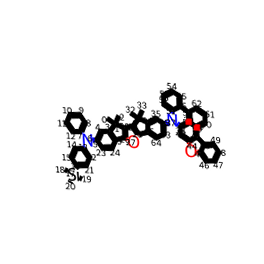 CC1(C)c2cc(N(c3ccccc3)c3ccc([Si](C)(C)C)cc3)ccc2-c2oc3c(c21)C(C)(C)c1cc(N(c2ccc4c(c2)oc2ccccc24)c2ccccc2-c2ccccc2)ccc1-3